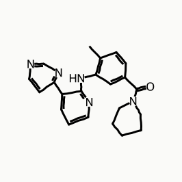 Cc1ccc(C(=O)N2CCCCC2)cc1Nc1ncccc1-c1ccncn1